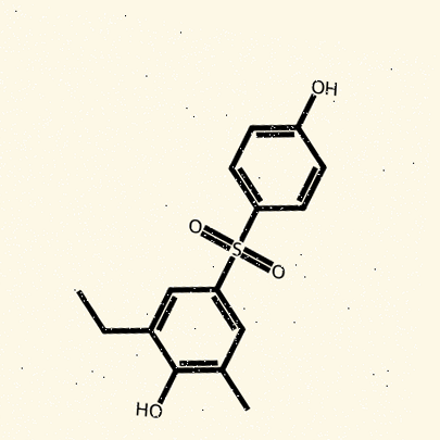 CCc1cc(S(=O)(=O)c2ccc(O)cc2)cc(C)c1O